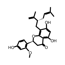 C=C(C)[C@H](CC=C(C)C)Cc1c(O)cc(O)c2c1O[C@H](c1ccc(O)cc1OC)CC2=O